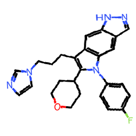 Fc1ccc(-n2c(C3CCOCC3)c(CCCn3ccnc3)c3cc4[nH]ncc4cc32)cc1